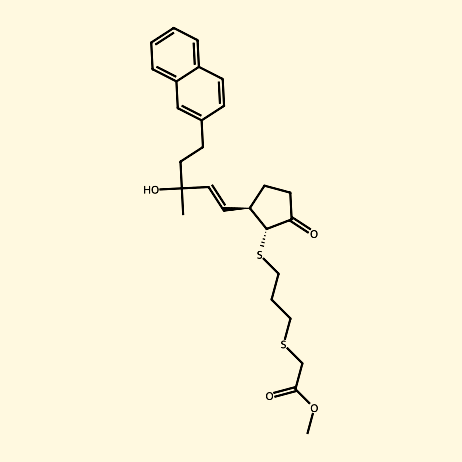 COC(=O)CSCCCS[C@H]1C(=O)CC[C@@H]1C=CC(C)(O)CCc1ccc2ccccc2c1